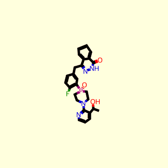 CC(O)c1cccnc1N1CCP(=O)(c2cc(Cc3n[nH]c(=O)c4ccccc34)ccc2F)CC1